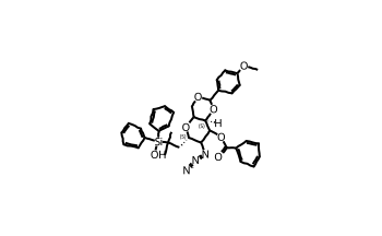 COc1ccc(C2OCC3O[C@@H](CC(C)(C)[Si](O)(c4ccccc4)c4ccccc4)C(N=[N+]=[N-])C(OC(=O)c4ccccc4)[C@@H]3O2)cc1